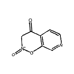 O=C1C[N+](=O)Oc2cnccc21